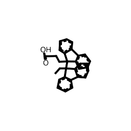 CCC1(C2(CCC(=O)O)c3ccccc3-c3ccccc32)c2ccccc2-c2ccccc21